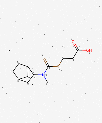 CN(C(=S)SCCC(=O)O)C1CC2CCC1C2